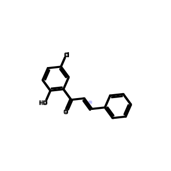 O=C(/C=C/c1ccccc1)c1cc(Cl)ccc1O